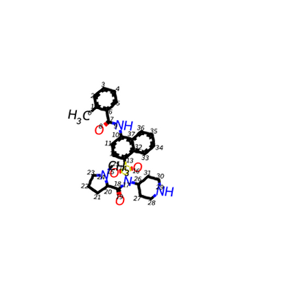 Cc1ccccc1C(=O)Nc1ccc(S(=O)(=O)N(C(=O)C2CCCN2C)C2CCNCC2)c2ccccc12